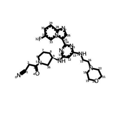 N#CCC(=O)N1CCC[C@@H](Nc2cc(NCCN3CCOCC3)nc(-c3cnc4ccc(F)cn34)n2)C1